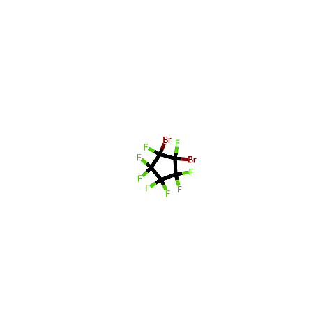 FC1(F)C(F)(F)C(F)(Br)C(F)(Br)C1(F)F